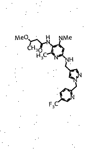 CNc1cc(NCc2cnn(Cc3ccc(C(F)(F)F)cn3)c2)nc(C)c1NC(=O)C[C@@H](C)OC